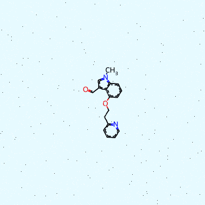 Cn1cc(C=O)c2c(OCCc3ccccn3)cccc21